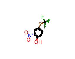 O=[N+]([O-])c1cc(SC(F)(F)F)ccc1O